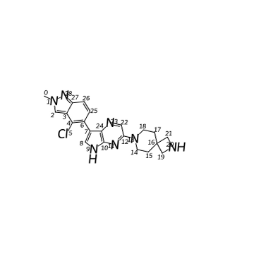 Cn1cc2c(Cl)c(-c3c[nH]c4nc(N5CCC6(CC5)CNC6)cnc34)ccc2n1